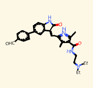 CCN(CC)CCNC(=O)c1c(C)[nH]c(/C=C2\C(=O)Nc3ccc(-c4ccc(C=O)cc4)cc32)c1C